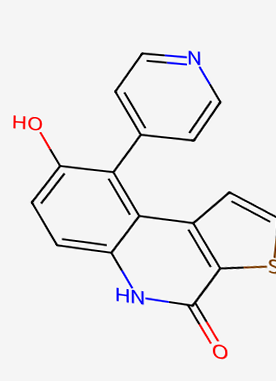 O=c1[nH]c2ccc(O)c(-c3ccncc3)c2c2ccsc12